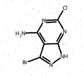 Nc1nc(Cl)nc2[nH]nc(Br)c12